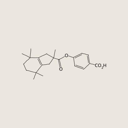 CC1(C)CCC(C)(C)C2=C1CC(C)(C(=O)Oc1ccc(C(=O)O)cc1)C2